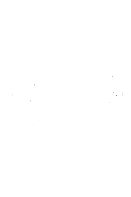 CCC(C)CN1C(=O)c2ccc(Oc3ccc4c(c3)C(=O)NC4=O)cc2C1=O